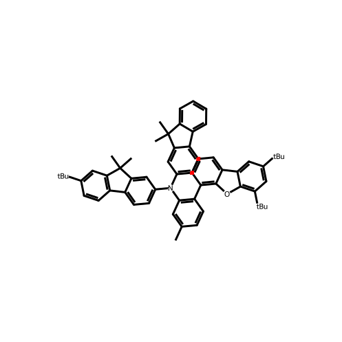 Cc1ccc(-c2cccc3c2oc2c(C(C)(C)C)cc(C(C)(C)C)cc23)c(N(c2ccc3c(c2)C(C)(C)c2ccccc2-3)c2ccc3c(c2)C(C)(C)c2cc(C(C)(C)C)ccc2-3)c1